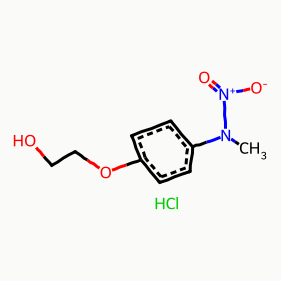 CN(c1ccc(OCCO)cc1)[N+](=O)[O-].Cl